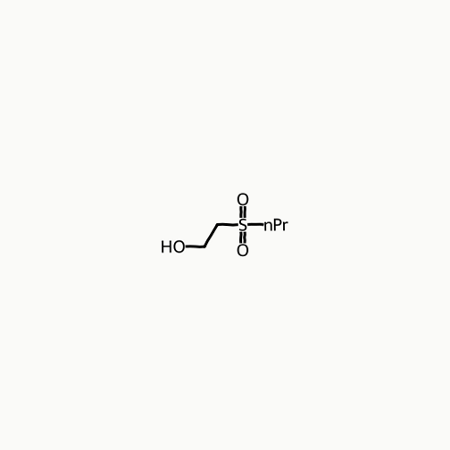 CCCS(=O)(=O)CCO